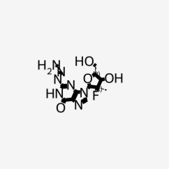 C[C@@]1(F)C(O)[C@@H](CO)OC1n1cnc2c(=O)[nH]c(N=NN)nc21